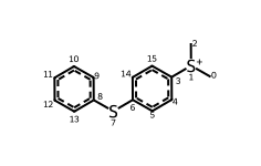 C[S+](C)c1ccc(Sc2ccccc2)cc1